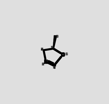 C[C@@H]1CN=[C]O1